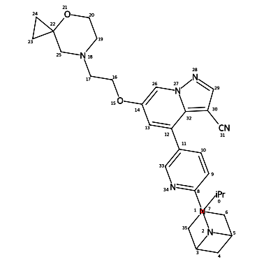 CC(C)CN1C2CC1CN(c1ccc(-c3cc(OCCN4CCOC5(CC5)C4)cn4ncc(C#N)c34)cn1)C2